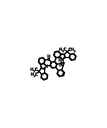 CC1(C)c2ccccc2-c2[nH]c3c(-c4c5c(cc6c4[C@H]4CC4c4c#cccc4-6)-n4c6c(c7cccc(c74)B5)C(C)(C)c4ccccc4-6)cccc3c21